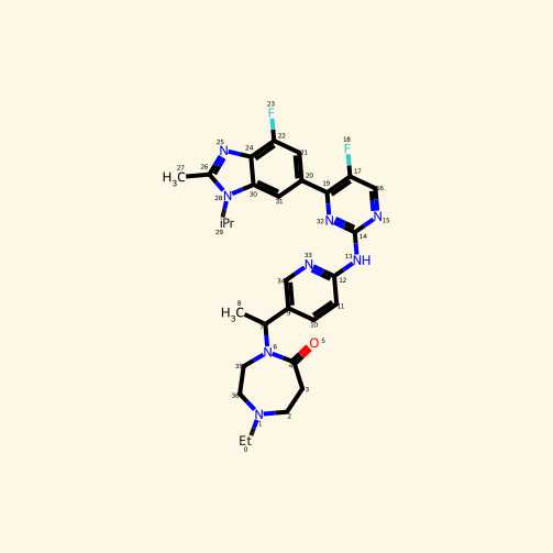 CCN1CCC(=O)N(C(C)c2ccc(Nc3ncc(F)c(-c4cc(F)c5nc(C)n(C(C)C)c5c4)n3)nc2)CC1